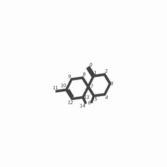 C=C1CCCC(C)C12CCC(C)=CC2C